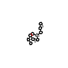 c1ccc(-c2cccc(-c3ccccc3-c3ccc4sc5cccc(-c6nc(-c7ccccc7)nc(-c7cccc(-c8ccc9c(c8)sc8ccccc89)c7)n6)c5c4c3)c2)cc1